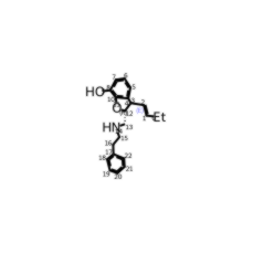 CC/C=C/C1c2cccc(O)c2O[C@H]1CNCCc1ccccc1